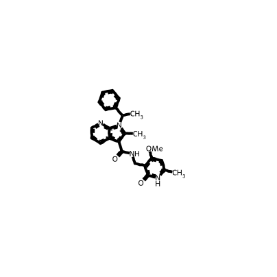 COc1cc(C)[nH]c(=O)c1CNC(=O)c1c(C)n(C(C)c2ccccc2)c2ncccc12